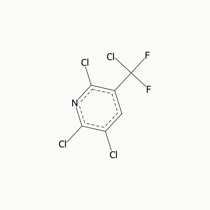 FC(F)(Cl)c1cc(Cl)c(Cl)nc1Cl